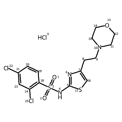 Cl.O=S(=O)(Nc1nc(CCN2CCOCC2)cs1)c1ccc(Cl)cc1Cl